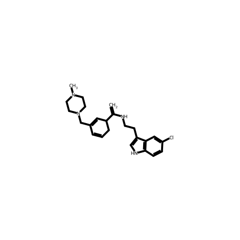 C=C(NCCc1c[nH]c2ccc(Cl)cc12)C1C=C(CN2CCN(C)CC2)C=CC1